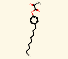 CCCCCCCCCc1ccc(OC(=O)C(C)=O)cc1